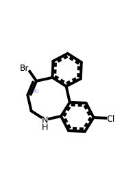 Clc1ccc2c(c1)-c1ccccc1/C(Br)=C\CN2